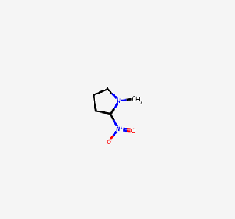 CN1[CH]CCC1[N+](=O)[O-]